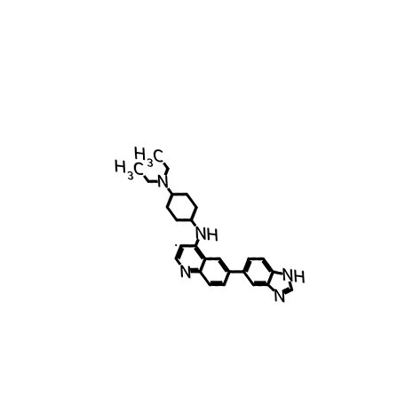 CCN(CC)C1CCC(Nc2[c]cnc3ccc(-c4ccc5[nH]cnc5c4)cc23)CC1